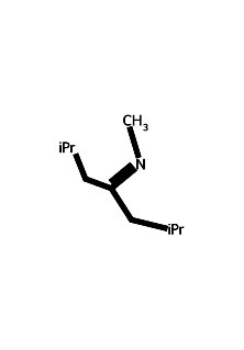 CN=C(CC(C)C)CC(C)C